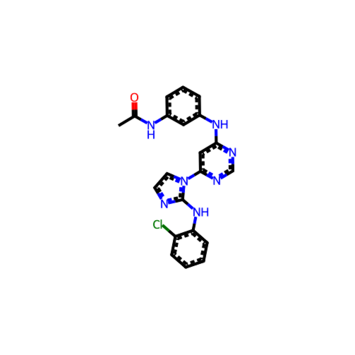 CC(=O)Nc1cccc(Nc2cc(-n3ccnc3Nc3ccccc3Cl)ncn2)c1